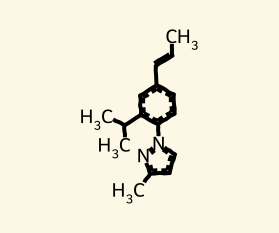 C/C=C/c1ccc(-n2ccc(C)n2)c(C(C)C)c1